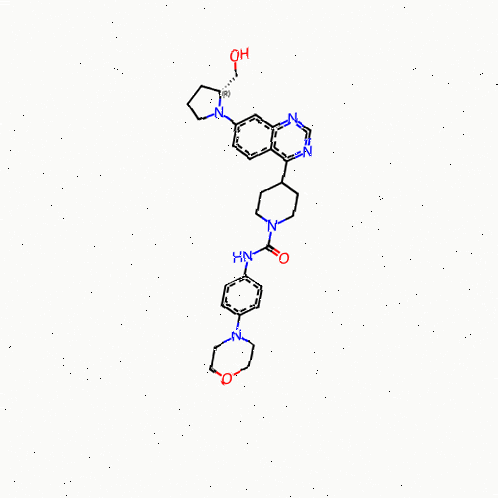 O=C(Nc1ccc(N2CCOCC2)cc1)N1CCC(c2ncnc3cc(N4CCC[C@@H]4CO)ccc23)CC1